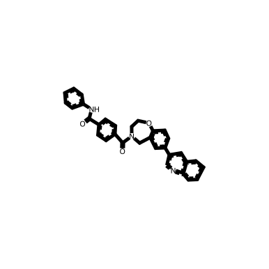 O=C(Nc1ccccc1)c1ccc(C(=O)N2CCOc3ccc(-c4cnc5ccccc5c4)cc3C2)cc1